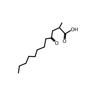 CCCCCCCCC(=O)CC(C)C(=O)O